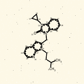 CC(C)CCn1c(Cn2c(=O)n(C3CC3)c3ccccc32)cc2cccnc21